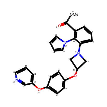 COC(=O)c1cccc(N2CC(Oc3ccc(Oc4cccnc4)cc3)C2)c1-n1cccc1